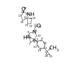 CC1(c2ccc([C@@]34C[C@@H]3CN(C(=O)[C@H]3C[C@]5(CCC(=O)N5)C3)C4)cc2)CC1